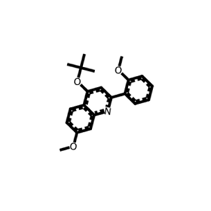 COc1ccc2c(OC(C)(C)C)cc(-c3ccccc3OC)nc2c1